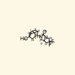 C[C@]12CN(C3C4CC5CC3CC(O)(C5)C4)C(=O)N1CC(F)(F)C2